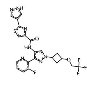 O=C(Nc1cn(C2CC(OCC(F)(F)F)C2)nc1-c1ncccc1F)c1csc(-c2cn[nH]c2)n1